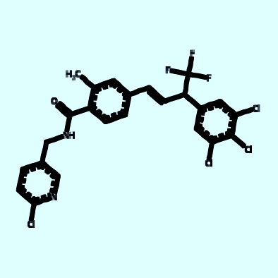 Cc1cc(/C=C/C(c2cc(Cl)c(Cl)c(Cl)c2)C(F)(F)F)ccc1C(=O)NCc1ccc(Cl)nc1